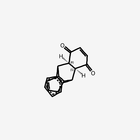 O=C1C=CC(=O)[C@H]2C3C4=C(C=CC4)C(c4ccccc43)[C@@H]12